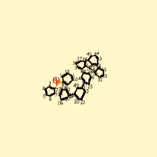 O=P(c1ccccc1)(c1ccccc1)c1cccc(-c2cccc(-c3ccc([Si](c4ccccc4)(c4ccccc4)c4ccccc4)cc3)c2)c1